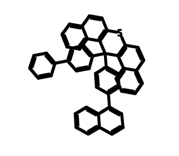 c1ccc(-c2ccc(C3(c4ccc(-c5cccc6ccccc56)cc4)c4c(ccc5ccccc45)Sc4ccc5ccccc5c43)cc2)cc1